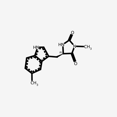 Cc1ccc2[nH]cc(C[C@H]3NC(=O)N(C)C3=O)c2c1